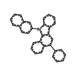 c1ccc(-c2cc3c4ccccc4n(-c4ccc5ccccc5c4)c3c3ccccc23)cc1